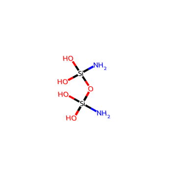 N[Si](O)(O)O[Si](N)(O)O